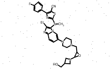 CCc1nc2ccc(N3CCN(CC4OC4N4CC(CO)C4)CC3)cn2c1N(C)c1nc(-c2ccc(F)cc2)c(C#N)s1